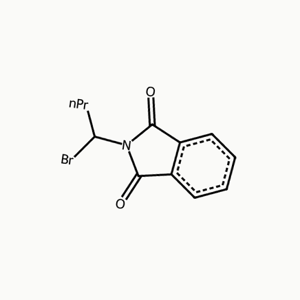 CCCC(Br)N1C(=O)c2ccccc2C1=O